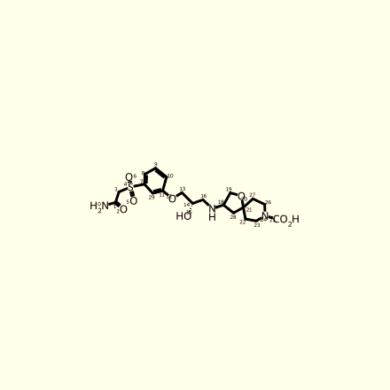 NC(=O)CS(=O)(=O)c1cccc(OC[C@@H](O)CNC2COC3(CCN(C(=O)O)CC3)C2)c1